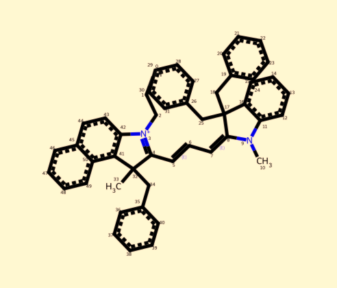 CC(C)CC[N+]1=C(/C=C/C=C2/N(C)c3ccccc3C2(Cc2ccccc2)Cc2ccccc2)C(C)(Cc2ccccc2)c2c1ccc1ccccc21